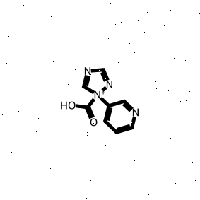 O=C(O)[N+]1(c2cccnc2)C=NC=N1